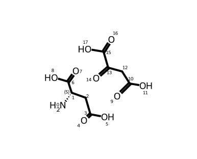 N[C@@H](CC(=O)O)C(=O)O.O=C(O)CC(=O)C(=O)O